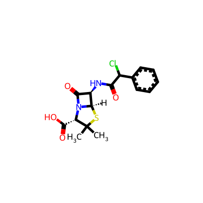 CC1(C)S[C@@H]2[C@H](NC(=O)C(Cl)c3ccccc3)C(=O)N2[C@H]1C(=O)O